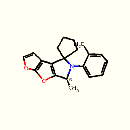 Cc1ccccc1N1[C@@H](C)c2oc3occc3c2C12CCCC2